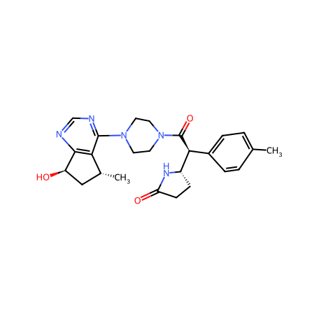 Cc1ccc([C@H](C(=O)N2CCN(c3ncnc4c3[C@H](C)C[C@H]4O)CC2)[C@@H]2CCC(=O)N2)cc1